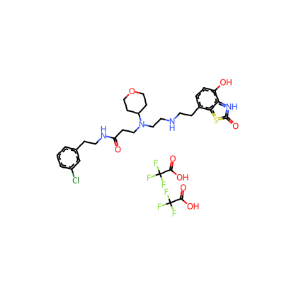 O=C(CCN(CCNCCc1ccc(O)c2[nH]c(=O)sc12)C1CCOCC1)NCCc1cccc(Cl)c1.O=C(O)C(F)(F)F.O=C(O)C(F)(F)F